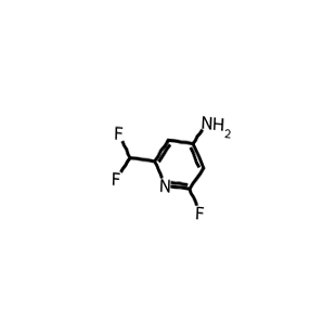 Nc1cc(F)nc(C(F)F)c1